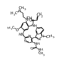 C=CC(=O)Nc1cc(Nc2ncc(NC(=O)NC)c(-c3nn(C)c4ccccc34)n2)c(OC)cc1N(C)CCN(C)C